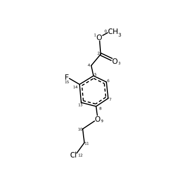 COC(=O)Cc1ccc(OCCCl)cc1F